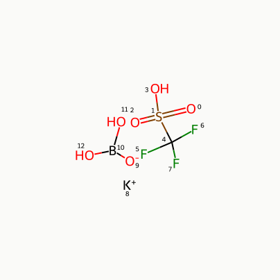 O=S(=O)(O)C(F)(F)F.[K+].[O-]B(O)O